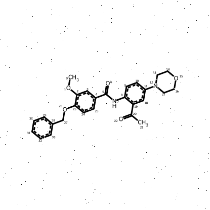 COc1cc(C(=O)Nc2ccc(N3CCOCC3)cc2C(C)=O)ccc1OCc1ccccc1